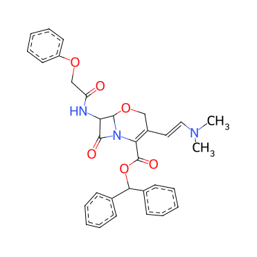 CN(C)/C=C/C1=C(C(=O)OC(c2ccccc2)c2ccccc2)N2C(=O)C(NC(=O)COc3ccccc3)C2OC1